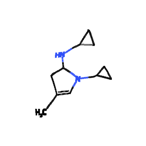 CC1=CN(C2CC2)C(NC2CC2)C1